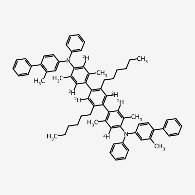 [2H]c1c(C)c(N(c2ccccc2)c2ccc(-c3ccccc3)c(C)c2)c([2H])c(C)c1-c1c([2H])c(CCCCCC)c(-c2c([2H])c(C)c(N(c3ccccc3)c3ccc(-c4ccccc4)c(C)c3)c([2H])c2C)c([2H])c1CCCCCC